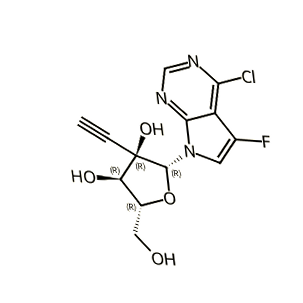 C#C[C@@]1(O)[C@H](O)[C@@H](CO)O[C@H]1n1cc(F)c2c(Cl)ncnc21